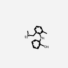 CCN(C)Cc1cccc(C)c1Pc1ccccc1O